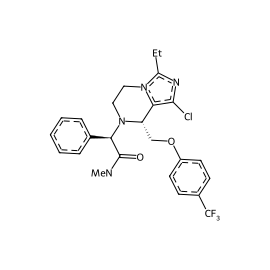 CCc1nc(Cl)c2n1CCN([C@@H](C(=O)NC)c1ccccc1)[C@H]2COc1ccc(C(F)(F)F)cc1